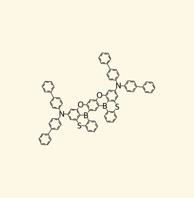 c1ccc(-c2ccc(N(c3ccc(-c4ccccc4)cc3)c3cc4c5c(c3)Sc3ccccc3B5c3cc5c(cc3O4)Oc3cc(N(c4ccc(-c6ccccc6)cc4)c4ccc(-c6ccccc6)cc4)cc4c3B5c3ccccc3S4)cc2)cc1